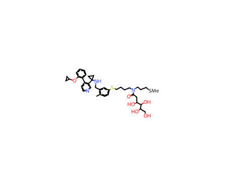 CSCCCN(CCCCSc1ccc(C)c(CNC2(c3cnccc3-c3ccccc3OC3CC3)CC2)c1)C(=O)CC(O)C(O)C(O)CO